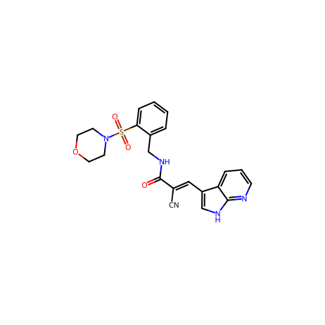 N#C/C(=C\c1c[nH]c2ncccc12)C(=O)NCc1ccccc1S(=O)(=O)N1CCOCC1